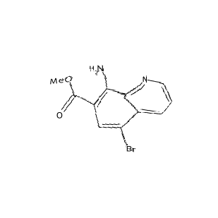 COC(=O)c1cc(Br)c2cccnc2c1N